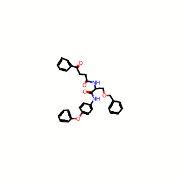 O=C(CCC(=O)c1ccccc1)NC(COCc1ccccc1)C(=O)Nc1ccc(Oc2ccccc2)cc1